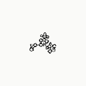 c1ccc2c(c1)Oc1ccccc1C21c2ccccc2-c2c(N(c3ccc(-c4ccc5sc6ccccc6c5c4)cc3)c3cccc4c3-c3ccccc3C43c4ccccc4Oc4ccccc43)cccc21